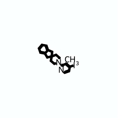 Cc1c(I)ccnc1N1CCC2(CC1)Cc1ccccc1C2